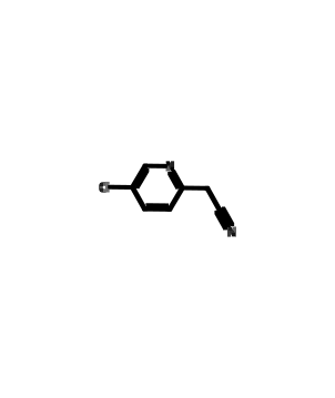 N#CCc1ccc(Cl)cn1